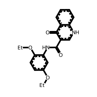 CCOc1ccc(OCC)c(NC(=O)c2c[nH]c3ccccc3c2=O)c1